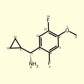 COc1cc(F)c([C@H](N)C2CC2)cc1F